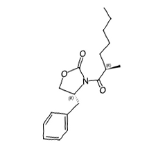 CCCCC[C@@H](C)C(=O)N1C(=O)OC[C@H]1Cc1ccccc1